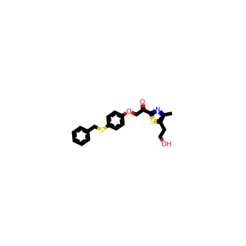 Cc1nc(C(=O)COc2ccc(SCc3ccccc3)cc2)sc1CCO